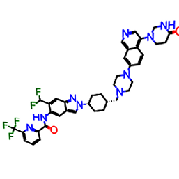 O=C1CCN(c2cncc3cc(N4CCN(C[C@H]5CC[C@H](n6cc7cc(NC(=O)c8cccc(C(F)(F)F)n8)c(C(F)F)cc7n6)CC5)CC4)ccc23)CN1